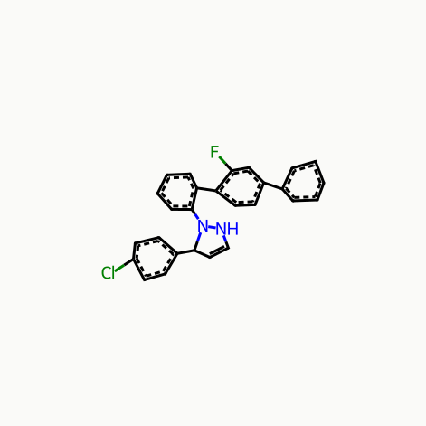 Fc1cc(-c2ccccc2)ccc1-c1ccccc1N1NC=CC1c1ccc(Cl)cc1